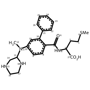 CSCCC(NC(=O)c1ccc(N(C)C2CNCCN2)cc1-c1ccccc1)C(=O)O